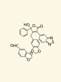 O=C1OC(O)(c2ccccc2)C(Cc2ccc3c(c2)OCO3)=C1c1ccc2nsnc2c1.O=Cc1ccc2c(c1)OCO2